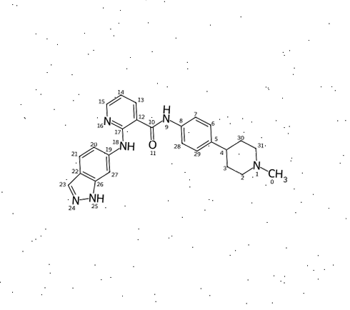 CN1CCC(c2ccc(NC(=O)c3cccnc3Nc3ccc4cn[nH]c4c3)cc2)CC1